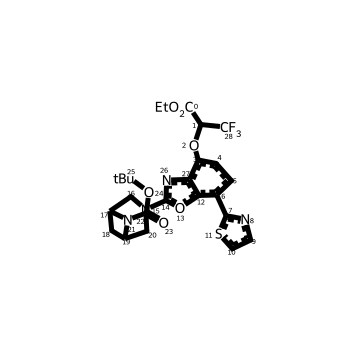 CCOC(=O)C(Oc1ccc(-c2nccs2)c2oc(N3CC4CC(C3)N4C(=O)OC(C)(C)C)nc12)C(F)(F)F